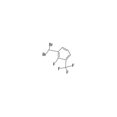 Fc1c(C(Br)Br)cccc1C(F)(F)F